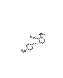 COc1cccc(CCc2ccc(N)cc2)c1OC